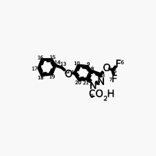 O=C(O)n1nc(OC(F)F)c2ccc(OCc3ccccc3)cc21